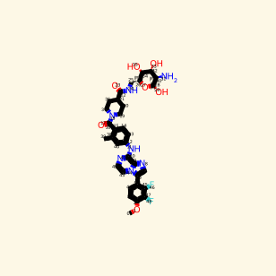 COc1ccc(-c2cnc3c(Nc4ccc(C(=O)N5CCC(C(=O)NC[C@H]6O[C@H](O)[C@H](N)[C@@H](O)[C@@H]6O)CC5)c(C)c4)nccn23)c(F)c1F